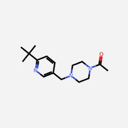 CC(=O)N1CCN(Cc2ccc(C(C)(C)C)nc2)CC1